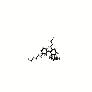 CCCCCCc1cccc(-c2c(CCCC)ccc3[nH]nnc23)c1